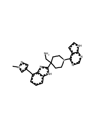 Cn1cc(-c2cccc3[nH]c(C4(CN)CCN(c5ncnc6[nH]ccc56)CC4)nc23)cn1